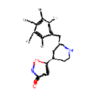 [2H]c1c([2H])c([2H])c(C[C@@H]2C[C@H](c3cc(=O)[nH]o3)CCN2)c([2H])c1[2H]